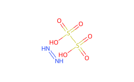 N=N.O=S(=O)(O)S(=O)(=O)O